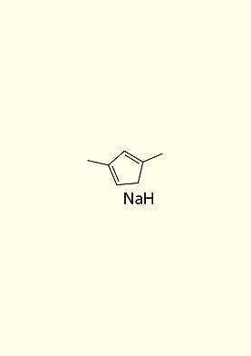 CC1=CCC(C)=C1.[NaH]